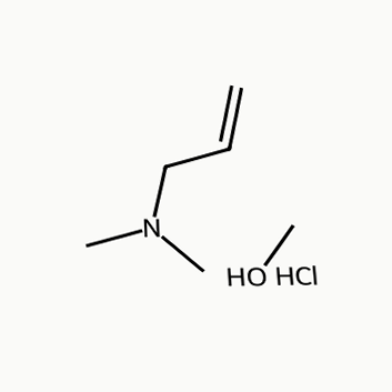 C=CCN(C)C.CO.Cl